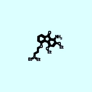 CCOc1cc(OCC)c2c(c1N)C(=O)c1cccc(OCCCN(CC)CC)c1-2